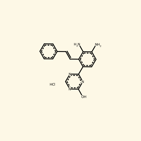 Cl.Nc1ccc(-c2ncnc(O)n2)c(C=Cc2ccccc2)c1N